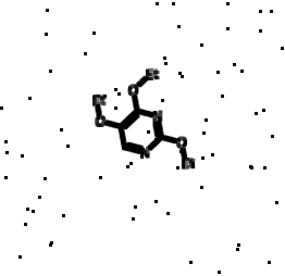 CCOc1ncc(OCC)c(OCC)n1